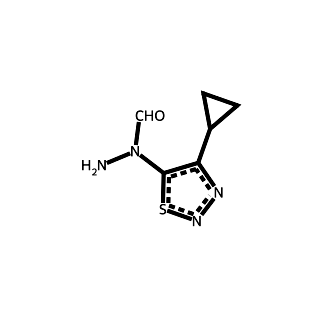 NN(C=O)c1snnc1C1CC1